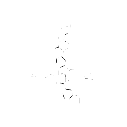 CC(=O)OCCCn1c(=NC(=O)c2cccc(C(F)F)c2)n(COCC[Si](C)(C)C)c2cc(N3CCN(C(=O)OC(C)(C)C)C(C)(C)C3=O)ccc21